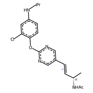 CC(=O)N[C@@H](C)/C=C/c1cnc(Oc2ccc(NC(C)C)cc2Cl)nc1